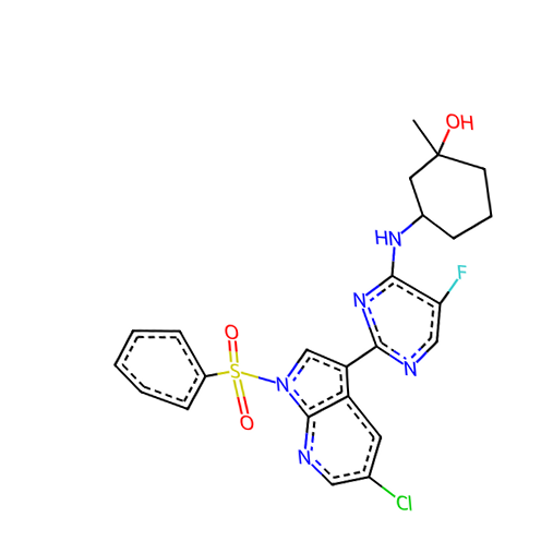 CC1(O)CCCC(Nc2nc(-c3cn(S(=O)(=O)c4ccccc4)c4ncc(Cl)cc34)ncc2F)C1